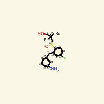 CCCCC(CC)(CO)C[S+]([O-])c1ccc(F)cc1Cc1cccc(N)c1